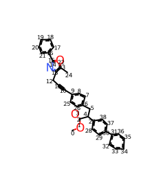 COC(=O)C(Cc1ccc(C#CCc2nc(-c3ccccc3)oc2C)cc1)c1ccc(-c2ccccc2)cc1